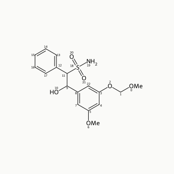 COCOc1cc(OC)cc(C(O)C(c2ccccc2)S(N)(=O)=O)c1